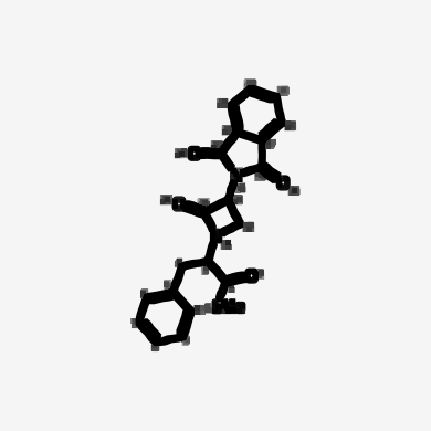 CSC(=O)C(Cc1ccccc1)N1CC(N2C(=O)c3ccccc3C2=O)C1=O